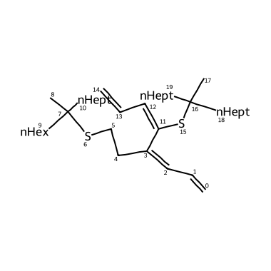 C=C/C=C(CCSC(C)(CCCCCC)CCCCCCC)\C(=C/C=C)SC(C)(CCCCCCC)CCCCCCC